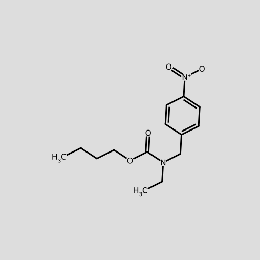 CCCCOC(=O)N(CC)Cc1ccc([N+](=O)[O-])cc1